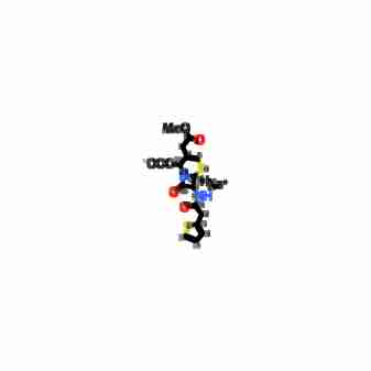 COC(=O)CC1=CS[C@H]2C(NC(=O)Cc3cccs3)C(=O)N2C1C(=O)[O-].[Na+]